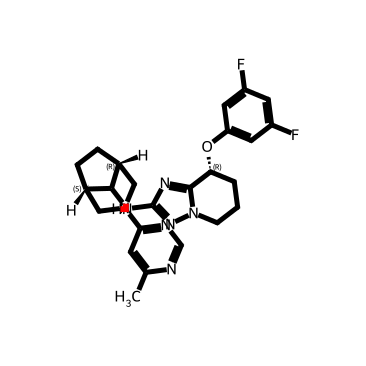 Cc1cc(N2C[C@H]3CC[C@@H](C2)C3Nc2nc3n(n2)CCC[C@H]3Oc2cc(F)cc(F)c2)ncn1